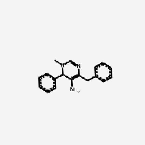 CN1C=NC(Cc2ccccc2)=C(N)C1c1ccccc1